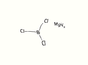 [Cl][Bi]([Cl])[Cl].[MgH2]